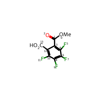 COC(=O)c1c(F)c(F)c(F)c(F)c1C(=O)O